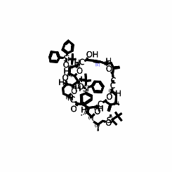 C=C1C[C@@H]2/C=C/C(O)C[C@H]3OC4[C@@H](O[C@H]5CC[C@H](CC(=O)C[C@@H]6[C@@H](C)[C@@H](C[C@H](C)CO[Si](C)(C)C(C)(C)C)O[C@H]6CC6O[C@@H](CCC1O2)C[C@@H](C)C6=C)O[C@@H]5[C@@H]4O[Si](c1ccccc1)(c1ccccc1)C(C)(C)C)[C@H]3O[Si](c1ccccc1)(c1ccccc1)C(C)(C)C